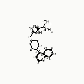 CC(C)c1nnc(C[C@H]2CC[C@H](c3ccnc4ccccc43)CC2)[nH]1